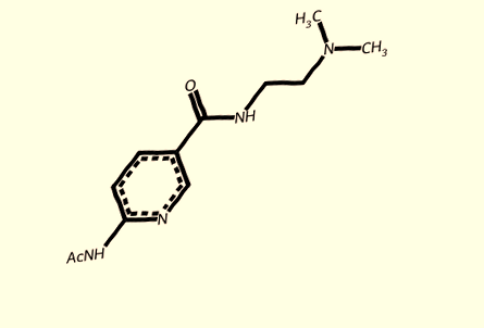 CC(=O)Nc1ccc(C(=O)NCCN(C)C)cn1